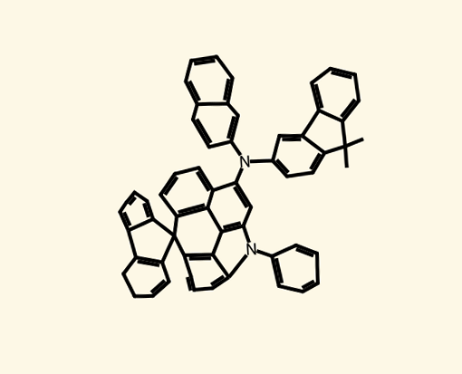 CC1(C)c2ccccc2-c2cc(N(c3ccc4ccccc4c3)c3cc4c5c6c(cccc36)C3(C6=C(CCC=C6)c6ccccc63)c3cccc(c35)n4-c3ccccc3)ccc21